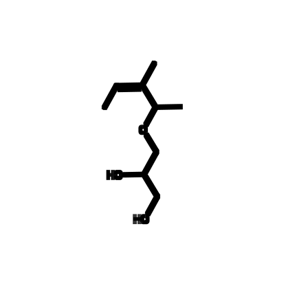 CC=C(C)C(C)OCC(O)CO